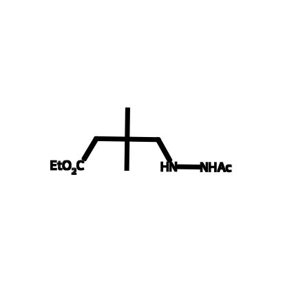 CCOC(=O)CC(C)(C)CNNC(C)=O